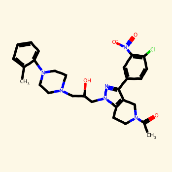 CC(=O)N1CCc2c(c(-c3ccc(Cl)c([N+](=O)[O-])c3)nn2CC(O)CN2CCN(c3ccccc3C)CC2)C1